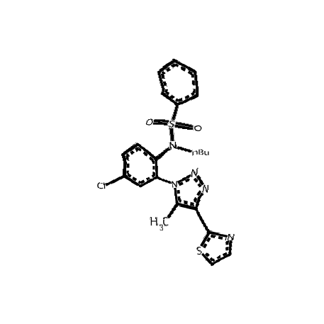 CCCCN(c1ccc(Cl)cc1-n1nnc(-c2nccs2)c1C)S(=O)(=O)c1ccccc1